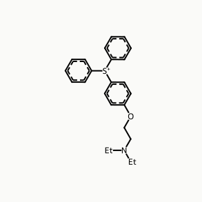 CCN(CC)CCOc1ccc([S+](c2ccccc2)c2ccccc2)cc1